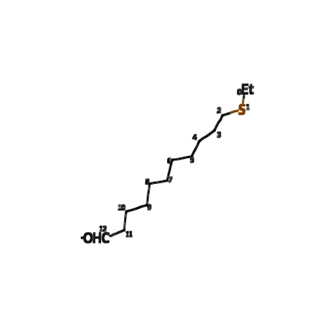 CCSCCCCCCCCCC[C]=O